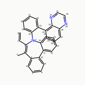 C=CC1=C(C)c2ccccc2-c2ccccc2N1c1ccccc1-c1cccc2nccnc12